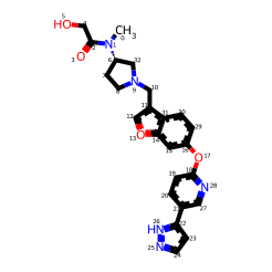 CN(C(=O)CO)[C@H]1CCN(Cc2coc3cc(Oc4ccc(-c5ccn[nH]5)cn4)ccc23)C1